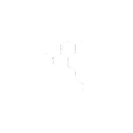 O=C(O)c1ccc(Br)cc1/N=C/C[N+](=O)[O-]